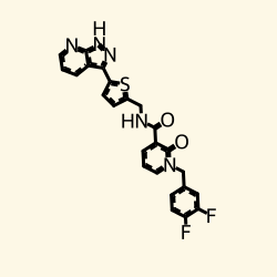 O=C(NCc1ccc(-c2n[nH]c3ncccc23)s1)c1cccn(Cc2ccc(F)c(F)c2)c1=O